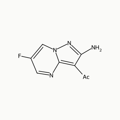 CC(=O)c1c(N)nn2cc(F)cnc12